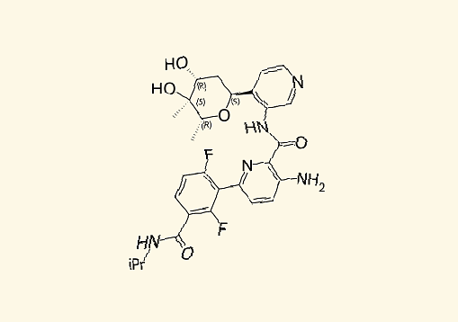 CC(C)NC(=O)c1ccc(F)c(-c2ccc(N)c(C(=O)Nc3cnccc3[C@@H]3C[C@@H](O)[C@](C)(O)[C@@H](C)O3)n2)c1F